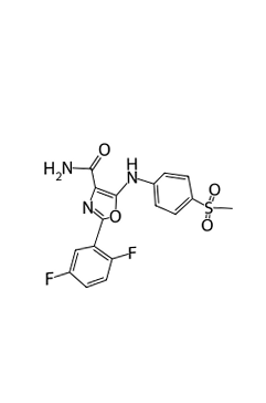 CS(=O)(=O)c1ccc(Nc2oc(-c3cc(F)ccc3F)nc2C(N)=O)cc1